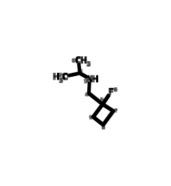 CC(C)NCC1(F)CCC1